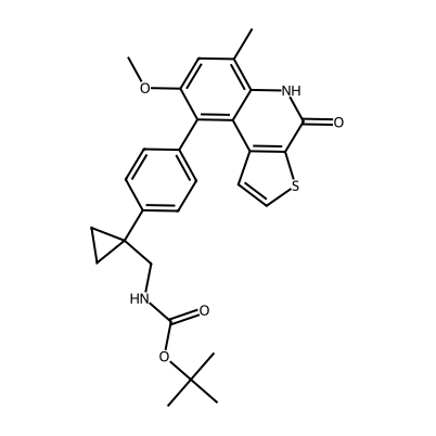 COc1cc(C)c2[nH]c(=O)c3sccc3c2c1-c1ccc(C2(CNC(=O)OC(C)(C)C)CC2)cc1